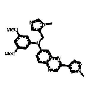 COc1cc(OC)cc(N(Cc2cncn2C)c2ccc3ncc(-c4cnn(C)c4)nc3c2)c1